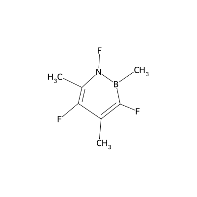 CB1C(F)=C(C)C(F)=C(C)N1F